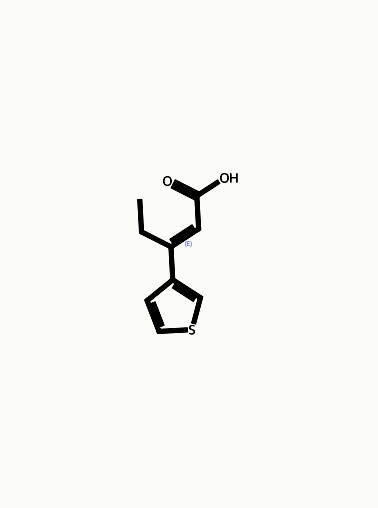 CC/C(=C\C(=O)O)c1ccsc1